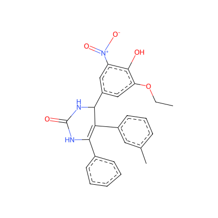 CCOc1cc(C2NC(=O)NC(c3ccccc3)=C2c2cccc(C)c2)cc([N+](=O)[O-])c1O